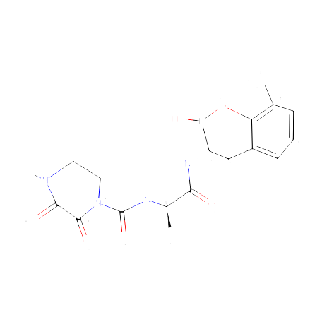 CCN1CCN(C(=O)N[C@@H](C(=O)N[C@H]2Cc3cccc(C(=O)O)c3OB2O)C(C)C)C(=O)C1=O